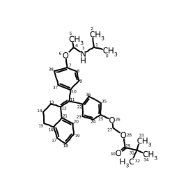 CC(C)NC(C)Oc1ccc(C(=C2CCCc3ccccc32)c2ccc(OCOC(=O)C(C)(C)C)cc2)cc1